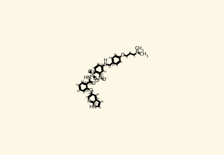 CN(C)CCCOc1ccc(CNc2ccc(S(=O)(=O)NC(=O)c3ccccc3Oc3cnc4[nH]ccc4c3)c([N+](=O)[O-])c2)cc1